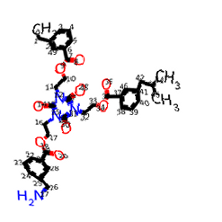 CCc1cccc(C(=O)OCCn2c(=O)n(CCOC(=O)c3cccc(CN)c3)c(=O)n(CCOC(=O)c3cccc(CC(C)C)c3)c2=O)c1